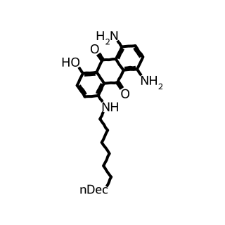 CCCCCCCCCCCCCCCCNc1ccc(O)c2c1C(=O)c1c(N)ccc(N)c1C2=O